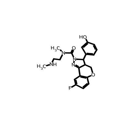 CNCCN(C)C(=O)N1N=C2c3cc(F)ccc3OCC2C1c1cccc(O)c1